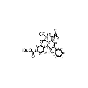 CC(C)COC(=O)c1ccc([C@@H]2c3[nH]c4ccccc4c3C[C@H](C(=O)N(C)C)N2C(=O)CCl)cc1